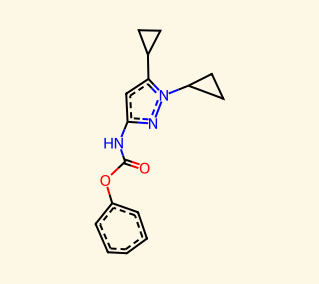 O=C(Nc1cc(C2CC2)n(C2CC2)n1)Oc1ccccc1